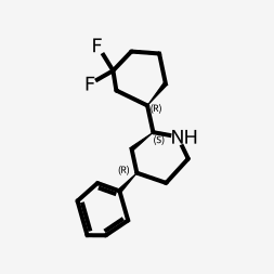 FC1(F)CCC[C@@H]([C@@H]2C[C@H](c3ccccc3)CCN2)C1